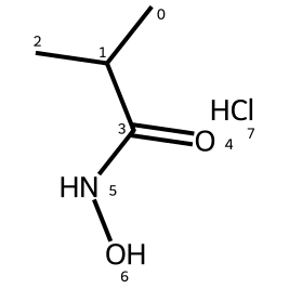 CC(C)C(=O)NO.Cl